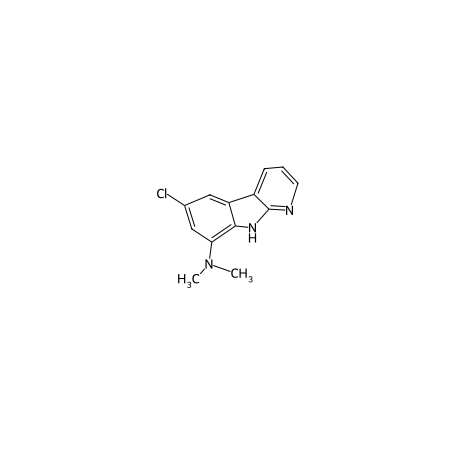 CN(C)c1cc(Cl)cc2c1[nH]c1ncccc12